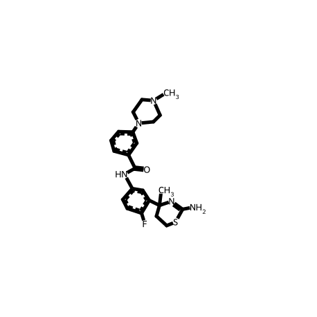 CN1CCN(c2cccc(C(=O)Nc3ccc(F)c(C4(C)CCSC(N)=N4)c3)c2)CC1